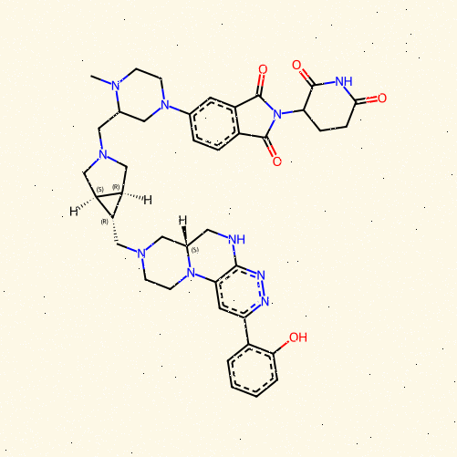 CN1CCN(c2ccc3c(c2)C(=O)N(C2CCC(=O)NC2=O)C3=O)CC1CN1C[C@@H]2[C@H](C1)[C@H]2CN1CCN2c3cc(-c4ccccc4O)nnc3NC[C@H]2C1